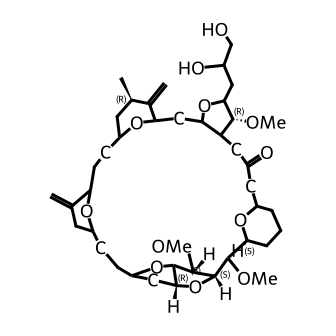 C=C1CC2CCC3C[C@H]4O[C@@H](C(OC)[C@@H]5CCCC(CC(=O)CC6C(CC7OC(CCC1O2)C[C@@H](C)C7=C)OC(CC(O)CO)[C@@H]6OC)O5)[C@@H](OC)C4O3